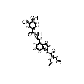 C=CCN(CC=C)C(=O)Cn1ccc2c(/C=N/NC(=O)c3ccc(O)c(Cl)c3)cccc21